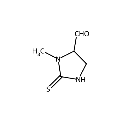 CN1C(=S)NCC1C=O